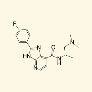 CC(CN(C)C)NC(=O)c1ccnc2[nH]c(-c3ccc(F)cc3)nc12